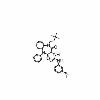 CSc1cccc(NC(=O)NC2C(=O)N(CCC(C)(C)C)c3ccccc3N(c3ccccc3)C2=O)c1